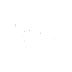 C[SiH](C)OC(CO[SiH2]CCCCl)O[SiH](C)C